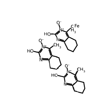 Cc1c2c(nc(O)[n+]1[O-])CCCC2.Cc1c2c(nc(O)[n+]1[O-])CCCC2.Cc1c2c(nc(O)[n+]1[O-])CCCC2.[Fe]